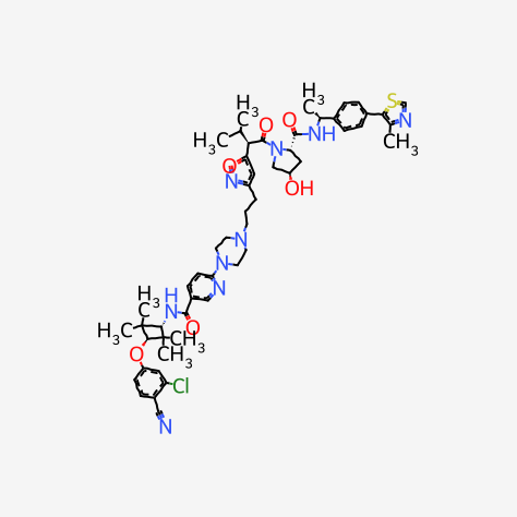 Cc1ncsc1-c1ccc([C@H](C)NC(=O)[C@@H]2C[C@@H](O)CN2C(=O)[C@@H](c2cc(CCCN3CCN(c4ccc(C(=O)N[C@H]5C(C)(C)[C@H](Oc6ccc(C#N)c(Cl)c6)C5(C)C)cn4)CC3)no2)C(C)C)cc1